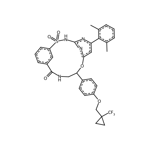 Cc1cccc(C)c1-c1cc2nc(n1)NS(=O)(=O)c1cccc(c1)C(=O)NCC(c1ccc(OCC3(C(F)(F)F)CC3)cc1)O2